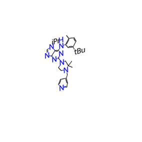 Cc1ccc(C(C)(C)C)cc1Nc1nc(N2CCN(Cc3ccncc3)C(C)(C)C2)nc2ncn(C(C)C)c12